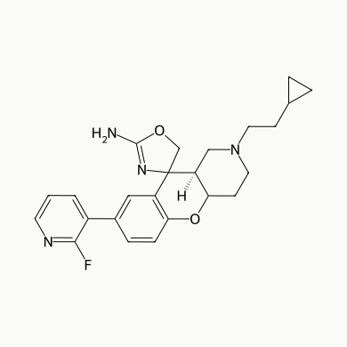 NC1=NC2(CO1)c1cc(-c3cccnc3F)ccc1OC1CCN(CCC3CC3)C[C@@H]12